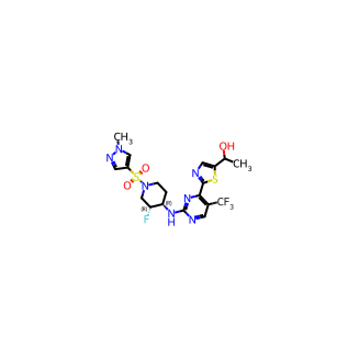 CC(O)c1cnc(-c2nc(N[C@@H]3CCN(S(=O)(=O)c4cnn(C)c4)C[C@H]3F)ncc2C(F)(F)F)s1